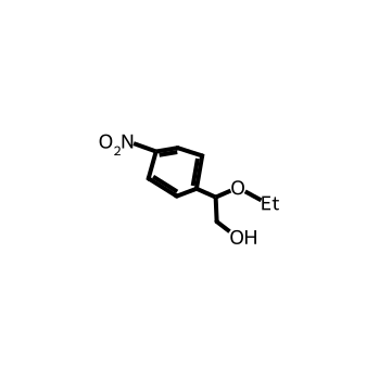 CCOC(CO)c1ccc([N+](=O)[O-])cc1